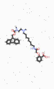 CN(CCCCCCCCNC(=O)COc1ccccc1C(=O)O)CCN(C)C(=O)OCC1c2ccccc2-c2ccccc21